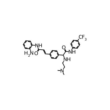 CN(C)CCNC(C(=O)Nc1ccc(C(F)(F)F)cc1)c1ccc(C=CC(=O)Nc2ccccc2N)cc1